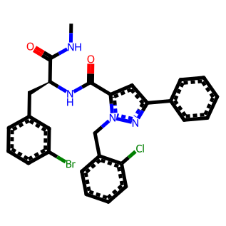 CNC(=O)[C@H](Cc1cccc(Br)c1)NC(=O)c1cc(-c2ccccc2)nn1Cc1ccccc1Cl